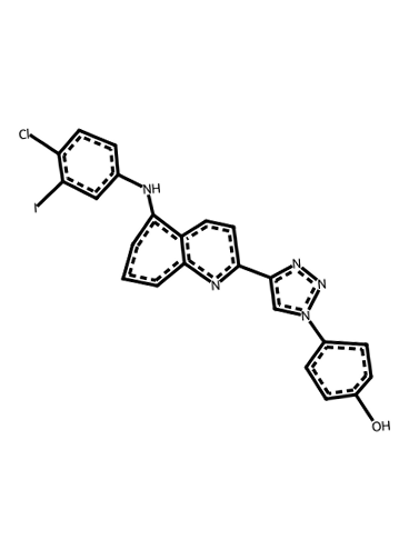 Oc1ccc(-n2cc(-c3ccc4c(Nc5ccc(Cl)c(I)c5)cccc4n3)nn2)cc1